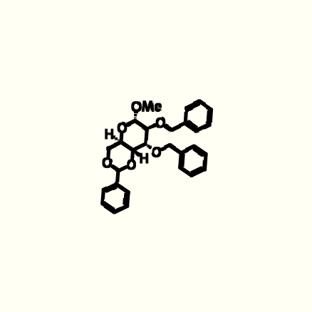 CO[C@H]1O[C@@H]2COC(c3ccccc3)O[C@H]2[C@@H](OCc2ccccc2)[C@@H]1OCc1ccccc1